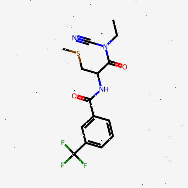 CCN(C#N)C(=O)C(CSC)NC(=O)c1cccc(C(F)(F)F)c1